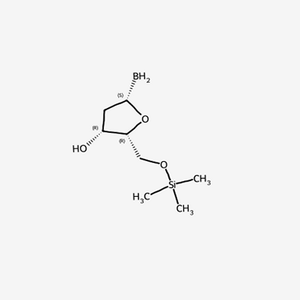 B[C@H]1C[C@@H](O)[C@@H](CO[Si](C)(C)C)O1